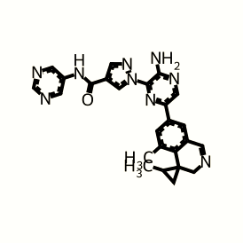 Cc1cc(-c2cnc(N)c(-n3cc(C(=O)Nc4cncnc4)cn3)n2)cc2c1C1(CN=C2)CC1C